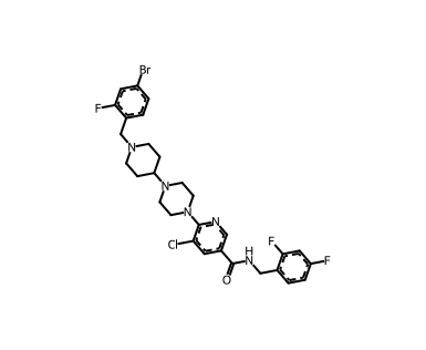 O=C(NCc1ccc(F)cc1F)c1cnc(N2CCN(C3CCN(Cc4ccc(Br)cc4F)CC3)CC2)c(Cl)c1